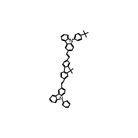 CC(C)(C)c1ccc(-n2c3ccccc3c3cc(/C=C/c4ccc5c(c4)C(C)(C)c4cc(/C=C/c6ccc7c(c6)c6ccccc6n7-c6ccccc6)ccc4-5)ccc32)cc1